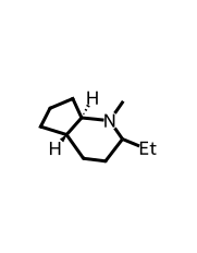 CCC1CC[C@@H]2CCC[C@H]2N1C